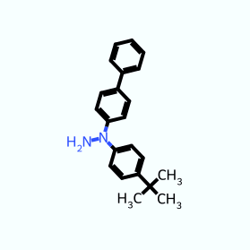 CC(C)(C)c1ccc(N(N)c2ccc(-c3ccccc3)cc2)cc1